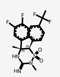 CN1C(=N)N[C@](C)(c2cc(F)c(F)cc2F)[C@@H](c2ccc(C(C)(F)F)cc2)S1(=O)=O